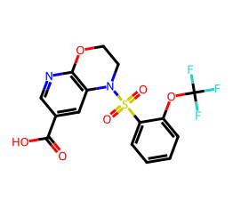 O=C(O)c1cnc2c(c1)N(S(=O)(=O)c1ccccc1OC(F)(F)F)CCO2